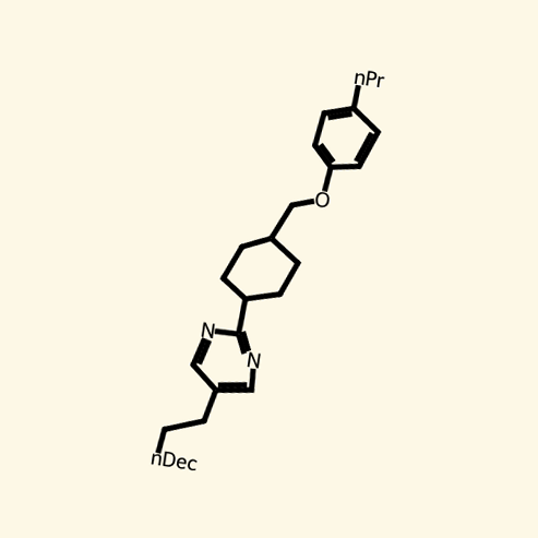 CCCCCCCCCCCCc1cnc(C2CCC(COc3ccc(CCC)cc3)CC2)nc1